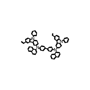 C=Cc1ccc2c(c1)c1cc(N(c3ccc(-c4ccc(N(c5ccc6c(c5)c5cc(C=C)ccc5n6-c5ccccc5)c5cccc6ccccc56)cc4)cc3)c3cccc4ccccc34)ccc1n2-c1ccccc1